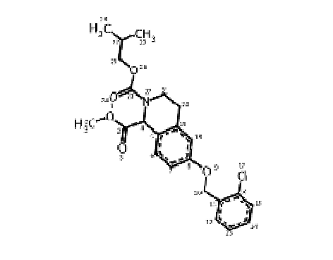 COC(=O)C1c2ccc(OCc3ccccc3Cl)cc2CCN1C(=O)OCC(C)C